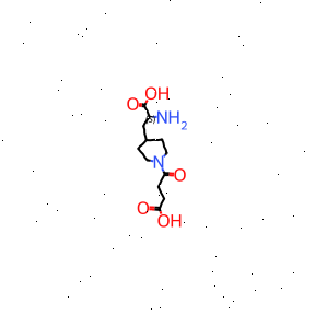 N[C@@H](CC1CCN(C(=O)CCC(=O)O)CC1)C(=O)O